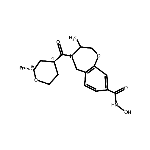 CC(C)[C@@H]1C[C@@H](C(=O)N2Cc3ccc(C(=O)NO)cc3OCC2C)CCO1